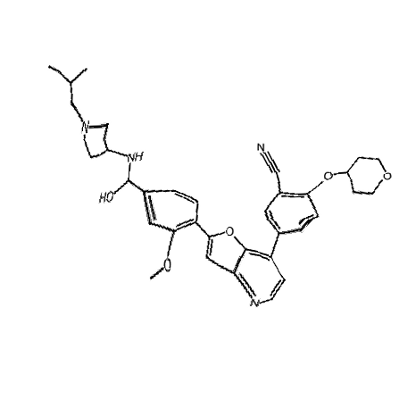 COc1cc(C(O)NC2CN(CC(C)C)C2)ccc1-c1cc2nccc(-c3ccc(OC4CCOCC4)c(C#N)c3)c2o1